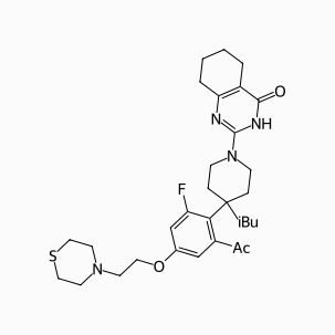 CCC(C)C1(c2c(F)cc(OCCN3CCSCC3)cc2C(C)=O)CCN(c2nc3c(c(=O)[nH]2)CCCC3)CC1